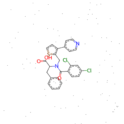 O=C(O)C(Cc1ccccc1)N(Cc1sccc1-c1ccncc1)C(=O)c1ccc(Cl)cc1Cl